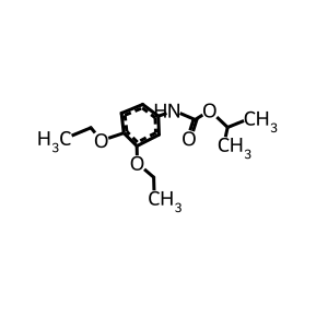 CCOc1ccc(NC(=O)OC(C)C)cc1OCC